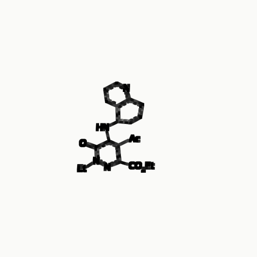 CCOC(=O)c1nn(CC)c(=O)c(Nc2cccc3ncccc23)c1C(C)=O